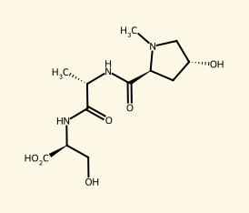 C[C@H](NC(=O)[C@@H]1C[C@@H](O)CN1C)C(=O)N[C@@H](CO)C(=O)O